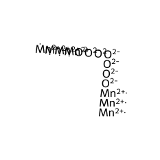 [Mn+2].[Mn+2].[Mn+2].[Mn+2].[Mn+2].[Mn+2].[Mn+2].[O-2].[O-2].[O-2].[O-2].[O-2].[O-2].[O-2]